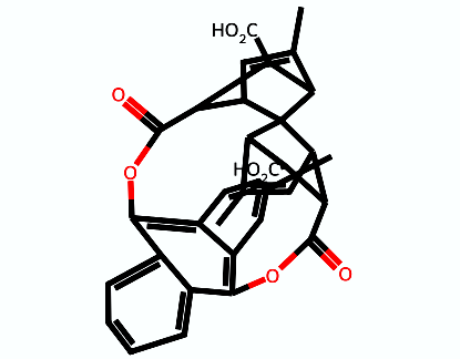 CC1=CC2C3C(=O)Oc4c5ccccc5c(c5cc(C)ccc45)OC(=O)C4C(C(=O)O)C5C(C)=CC4C25C1C3C(=O)O